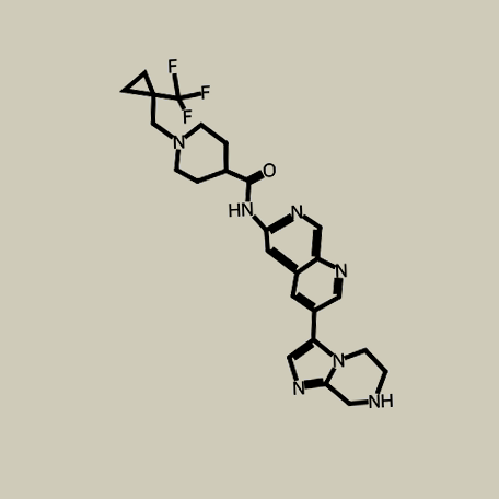 O=C(Nc1cc2cc(-c3cnc4n3CCNC4)cnc2cn1)C1CCN(CC2(C(F)(F)F)CC2)CC1